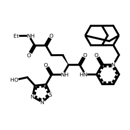 CCNC(=O)C(=O)CC[C@H](NC(=O)c1snnc1CO)C(=O)Nc1cccn(CC2C3CC4CC(C3)CC2C4)c1=O